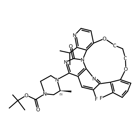 CC(C)c1nccc2c1-n1c(=O)nc(N3CCN(C(=O)OC(C)(C)C)C[C@@H]3C)c3cc(F)c(nc31)-c1c(F)cccc1OCCCO2